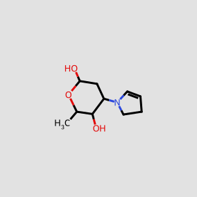 CC1OC(O)CC(N2C=CCC2)C1O